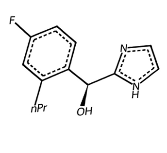 CCCc1cc(F)ccc1[C@H](O)c1ncc[nH]1